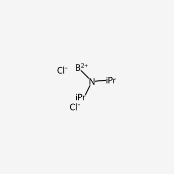 [B+2]N(C(C)C)C(C)C.[Cl-].[Cl-]